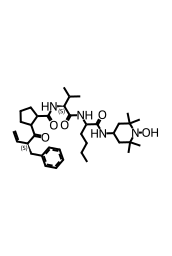 C=C[C@H](Cc1ccccc1)C(=O)C1CCCC1C(=O)N[C@H](C(=O)NC(CCCC)C(=O)NC1CC(C)(C)N(O)C(C)(C)C1)C(C)C